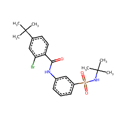 CC(C)(C)NS(=O)(=O)c1cccc(NC(=O)c2ccc(C(C)(C)C)cc2Br)c1